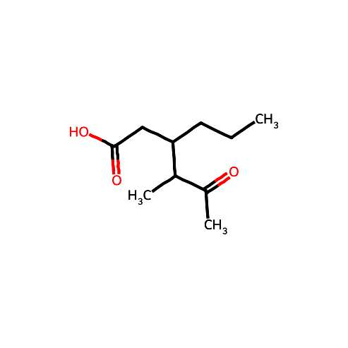 CCCC(CC(=O)O)C(C)C(C)=O